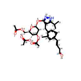 CC(=O)OC[C@H]1O[C@@H](Oc2n[nH]c(C(C)C)c2Cc2ccc(/C=C/CC=O)cc2C)C[C@@H](OC(C)=O)[C@@H]1OC(C)=O